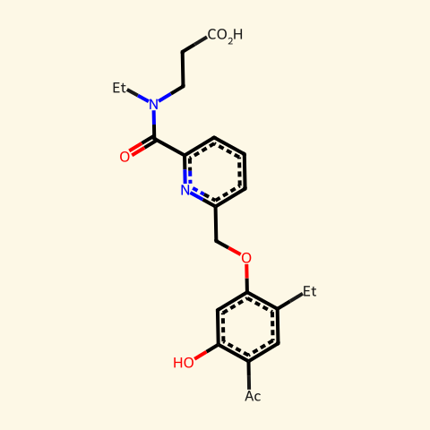 CCc1cc(C(C)=O)c(O)cc1OCc1cccc(C(=O)N(CC)CCC(=O)O)n1